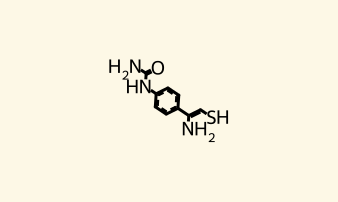 NC(=O)Nc1ccc(/C(N)=C/S)cc1